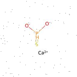 [Ca+2].[O-][PH]([O-])=S